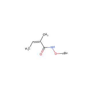 C/C=C(/C)C(=O)NOCCCC